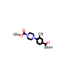 CNC(=O)c1ccc(N2CCN(C(=O)OC(C)(C)C)CC2)c(C#N)c1